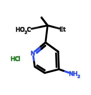 CCC(C)(C(=O)O)c1cc(N)ccn1.Cl